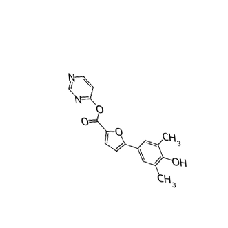 Cc1cc(-c2ccc(C(=O)Oc3ccncn3)o2)cc(C)c1O